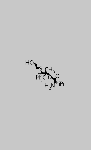 CC(C)[C@H](N)C(=O)OCC(C)(C)C(=O)SCCO